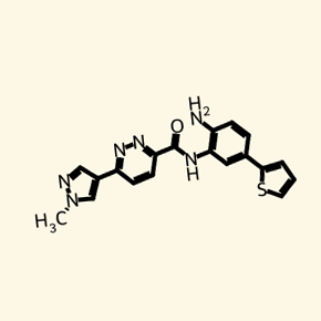 Cn1cc(-c2ccc(C(=O)Nc3cc(-c4cccs4)ccc3N)nn2)cn1